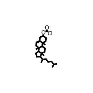 CC(C)CCCC(C)C1CCC2C1(C)CCC1C3(C)CCC(OC(=O)Cl)CC3=CCC12C